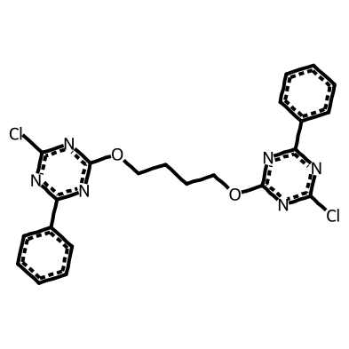 Clc1nc(OCCCCOc2nc(Cl)nc(-c3ccccc3)n2)nc(-c2ccccc2)n1